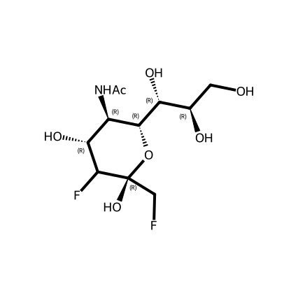 CC(=O)N[C@H]1[C@H]([C@H](O)[C@H](O)CO)O[C@](O)(CF)C(F)[C@@H]1O